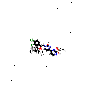 CC(C)(C)[Si](C)(C)O[C@@H](Cn1ccc(-c2ccnc(S(C)(=O)=O)n2)nc1=O)c1ccc(Cl)c(F)c1